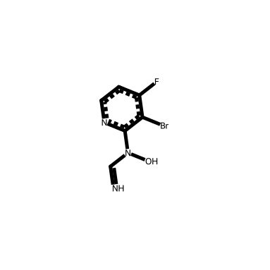 N=CN(O)c1nccc(F)c1Br